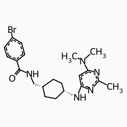 Cc1nc(N[C@H]2CC[C@@H](CNC(=O)c3ccc(Br)cc3)CC2)cc(N(C)C)n1